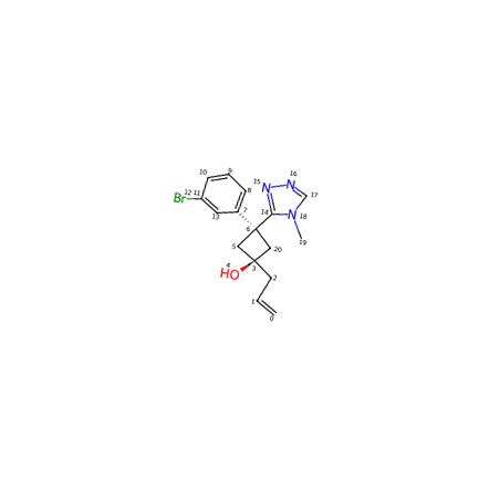 C=CC[C@]1(O)C[C@@](c2cccc(Br)c2)(c2nncn2C)C1